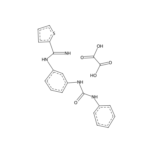 N=C(Nc1cccc(NC(=O)Nc2ccccc2)c1)c1cccs1.O=C(O)C(=O)O